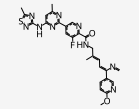 C=N/C(=C\C=C(/C)CNC(=O)c1ncc(-c2nc(C)cc(Nc3nsc(C)n3)n2)cc1F)c1ccc(OC)nc1